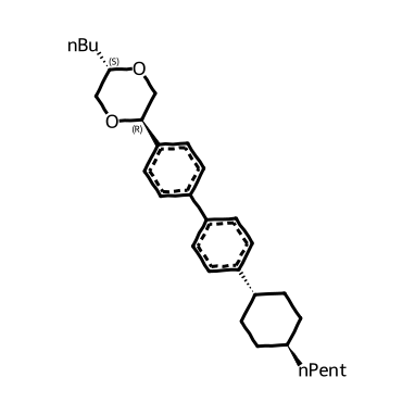 CCCCC[C@H]1CC[C@H](c2ccc(-c3ccc([C@@H]4CO[C@@H](CCCC)CO4)cc3)cc2)CC1